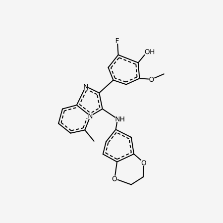 COc1cc(-c2nc3cccc(C)n3c2Nc2ccc3c(c2)OCCO3)cc(F)c1O